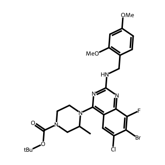 COc1ccc(CNc2nc(N3CCN(C(=O)OC(C)(C)C)CC3C)c3cc(Cl)c(Br)c(F)c3n2)c(OC)c1